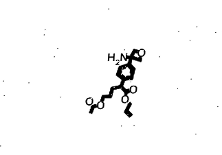 C=CCOC(=O)C(CCCOC(C)=O)c1ccc(C2(N)COC2)cc1